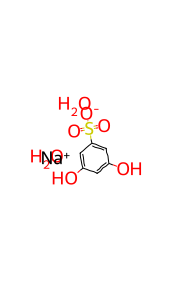 O.O.O=S(=O)([O-])c1cc(O)cc(O)c1.[Na+]